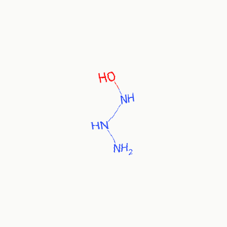 NNNO